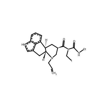 C=CCN1C[C@H](C(=O)N(CI)C(=O)NCC)C[C@@H]2c3cccc4[nH]cc(c34)C[C@H]21